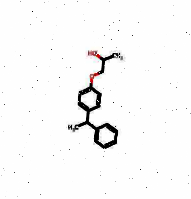 CC(O)COc1ccc(C(C)c2ccccc2)cc1